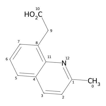 Cc1ccc2cccc(CC(=O)O)c2n1